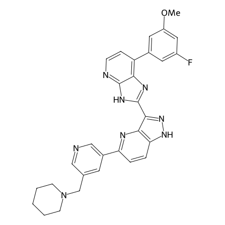 COc1cc(F)cc(-c2ccnc3[nH]c(-c4n[nH]c5ccc(-c6cncc(CN7CCCCC7)c6)nc45)nc23)c1